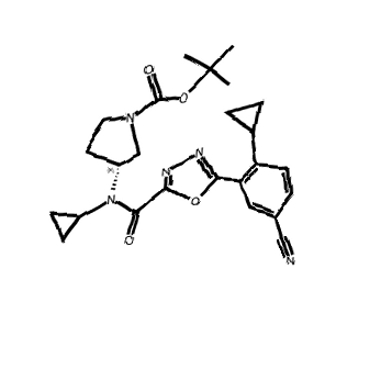 CC(C)(C)OC(=O)N1CC[C@@H](N(C(=O)c2nnc(-c3cc(C#N)ccc3C3CC3)o2)C2CC2)C1